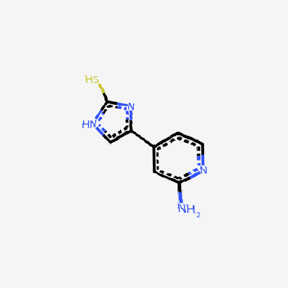 Nc1cc(-c2c[nH]c(S)n2)ccn1